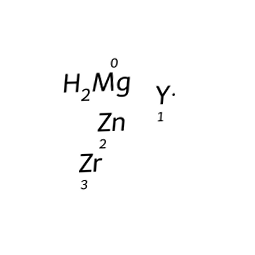 [MgH2].[Y].[Zn].[Zr]